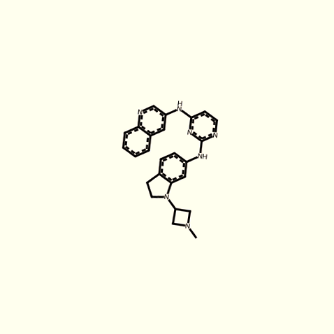 CN1CC(N2CCc3ccc(Nc4nccc(Nc5cnc6ccccc6c5)n4)cc32)C1